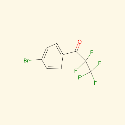 O=C(c1ccc(Br)cc1)C(F)(F)C(F)(F)F